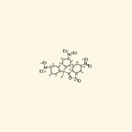 CCN(CC)c1ccc(C(C)(c2ccc(N(CC)CC)cc2)C2OC(=O)c3cc(N(CC)CC)ccc32)cc1